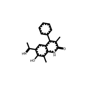 CC(=N)c1cc2c(-c3ccccc3)c(C)c(=O)[nH]c2c(C)c1O